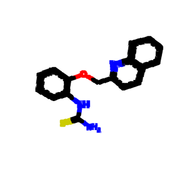 NC(=S)Nc1ccccc1OCc1ccc2ccccc2n1